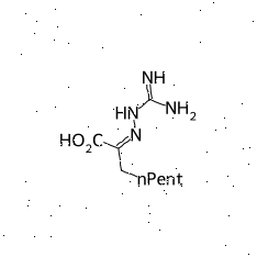 CCCCCCC(=NNC(=N)N)C(=O)O